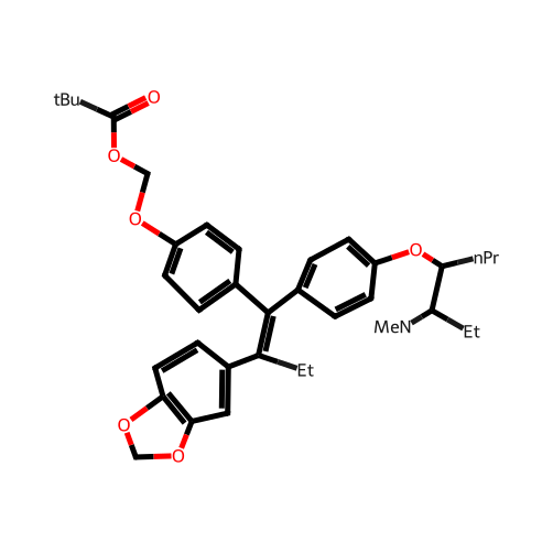 CCCC(Oc1ccc(C(=C(CC)c2ccc3c(c2)OCO3)c2ccc(OCOC(=O)C(C)(C)C)cc2)cc1)C(CC)NC